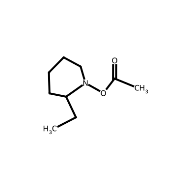 CCC1CCCCN1OC(C)=O